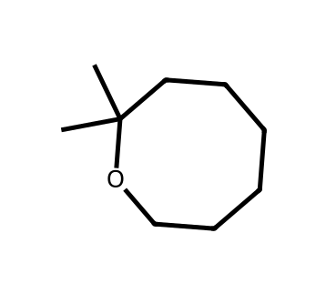 CC1(C)CCCCCCO1